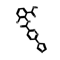 COC(=O)c1cccc(Cl)c1NC(=O)c1ccc(-n2ccnc2)nn1